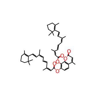 CC(C=CC1=C(C)CCCC1(C)C)=CC=CC(C)=CC(=O)Oc1ccc2c(C)cc(=O)oc2c1OC(=O)C=C(C)C=CC=C(C)C=CC1=C(C)CCCC1(C)C